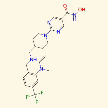 C=CN(C)c1cc(C(F)(F)F)ccc1CNCC1CCN(c2ncc(C(=O)NO)cn2)CC1